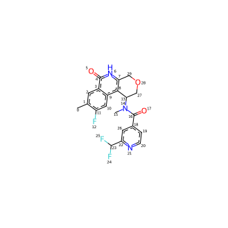 Cc1cc2c(=O)[nH]c3c(c2cc1F)C(N(C)C(=O)c1ccnc(C(F)F)c1)COC3